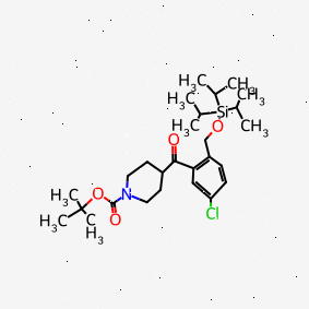 CC(C)[Si](OCc1ccc(Cl)cc1C(=O)C1CCN(C(=O)OC(C)(C)C)CC1)(C(C)C)C(C)C